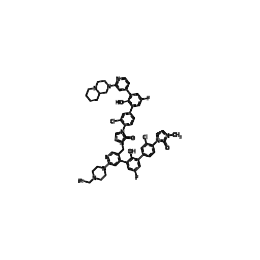 CC(C)CN1CCN(c2cc(-c3cc(F)cc(-c4ccc(-n5ccn(C)c5=O)c(Cl)c4)c3O)c(Cn3ccn(-c4ccc(-c5cc(F)cc(-c6ccnc(N7CCN8CCCCC8C7)c6)c5O)cc4Cl)c3=O)cn2)CC1